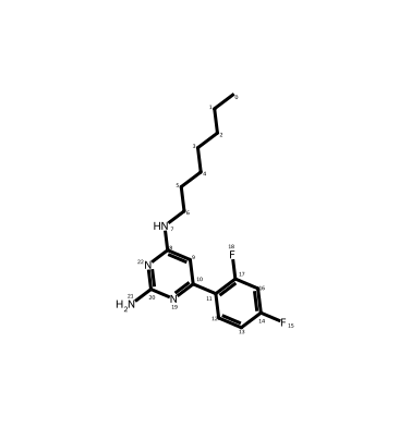 CCCCCCCNc1cc(-c2ccc(F)cc2F)nc(N)n1